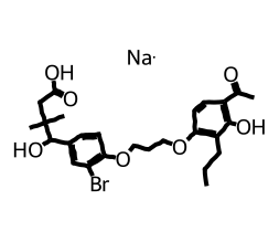 CCCc1c(OCCCOc2ccc(C(O)C(C)(C)CC(=O)O)cc2Br)ccc(C(C)=O)c1O.[Na]